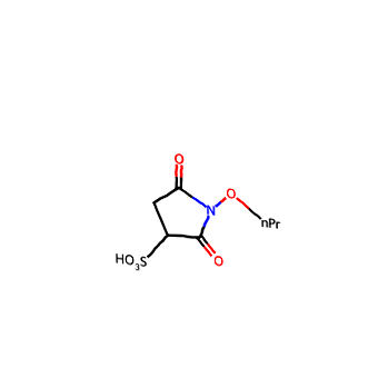 CCCON1C(=O)CC(S(=O)(=O)O)C1=O